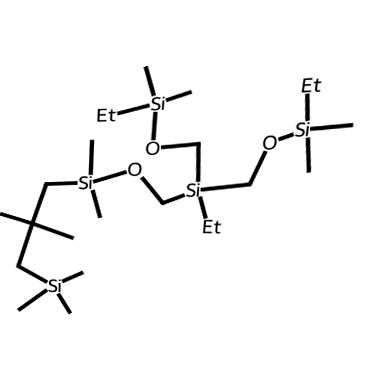 CC[Si](CO[Si](C)(C)CC)(CO[Si](C)(C)CC)CO[Si](C)(C)CC(C)(C)C[Si](C)(C)C